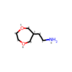 NCCC1COCCOC1